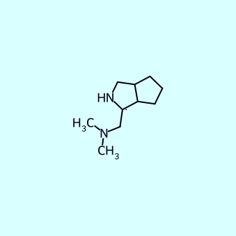 CN(C)C[C]1NCC2CCCC12